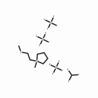 COCC[N+]1(C)CCCC1.FC(F)F.F[B-](F)(F)F.F[B-](F)(F)F.F[B-](F)(F)F